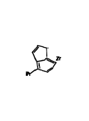 CC(C)c1cccc2c1C=C[CH]2.[Zr]